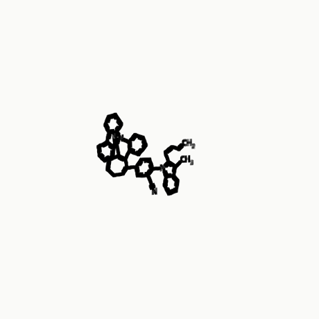 C=C/C=C\c1c(C)c2ccccc2n1-c1ccc(C2=CCC=CC(C#N)=C2c2ccccc2-n2c3ccccc3c3ccccc32)cc1C#N